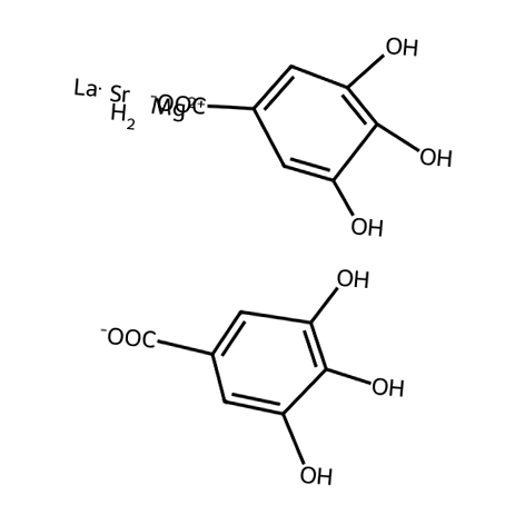 O=C([O-])c1cc(O)c(O)c(O)c1.O=C([O-])c1cc(O)c(O)c(O)c1.[La].[Mg+2].[SrH2]